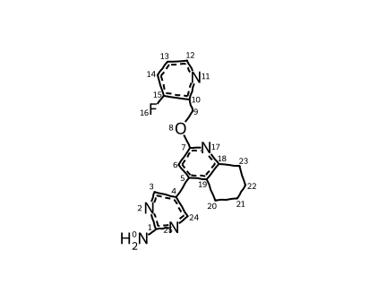 Nc1ncc(-c2cc(OCc3ncccc3F)nc3c2CCCC3)cn1